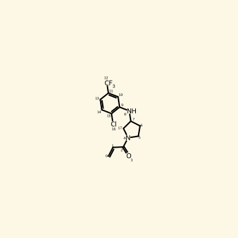 C=CC(=O)N1CCC(Nc2cc(C(F)(F)F)ccc2Cl)C1